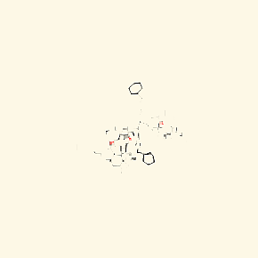 C=CC1O[C@H]2C[C@H]3OC[C@@]3(OC(C)=O)[C@H]3[C@H](OC(=O)c4ccccc4)[C@]4(O)C[C@H](OC(=O)[C@H](OCOCc5ccccc5)[C@H](CC(C)C)NC(=O)OC(C)(C)C)C(C)=C([C@H](OC(C)=O)[C@H](O1)[C@]23C)C4(C)C